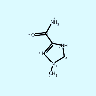 CN1CNC(C(N)=O)=N1